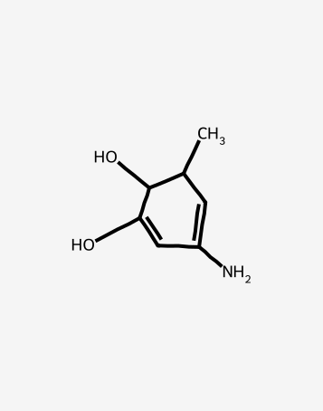 CC1C=C(N)C=C(O)C1O